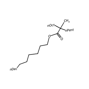 CCCCCCCCCCCCCCCCOC(=O)C(C)(CCCCC)CCCCCCCC